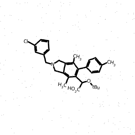 Cc1ccc(-c2c(C)c3c(c(C)c2C(OC(C)(C)C)C(=O)O)CN(Cc2cccc(Cl)c2)C3)cc1